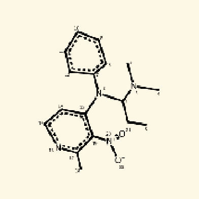 CCC(N(C)C)N(c1ccccc1)c1ccnc(C)c1[N+](=O)[O-]